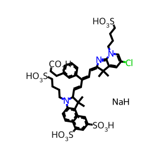 CC1(C)C(=CC=C(C=CC2N(CCCCS(=O)(=O)O)c3ccc4c(S(=O)(=O)O)cc(S(=O)(=O)O)cc4c3C2(C)C)c2cccc(CCC(=O)O)c2)N=C2C1=CC(Cl)=CN2CCCCS(=O)(=O)O.[NaH]